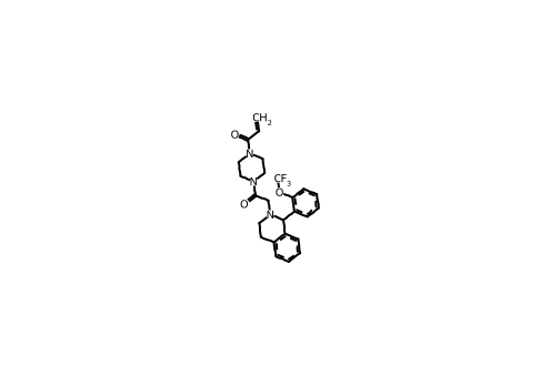 C=CC(=O)N1CCN(C(=O)CN2CCc3ccccc3C2c2ccccc2OC(F)(F)F)CC1